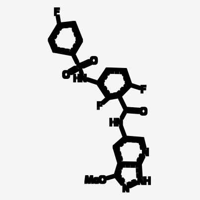 COc1n[nH]c2ncc(NC(=O)c3c(F)ccc(NS(=O)(=O)c4ccc(F)cc4)c3F)cc12